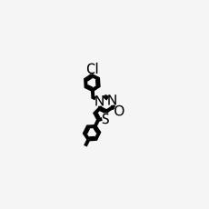 Cc1ccc(-c2cc3c(s2)c(=O)ncn3Cc2ccc(Cl)cc2)cc1